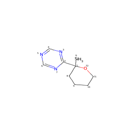 [SiH3]C1(c2ncncn2)CCCCO1